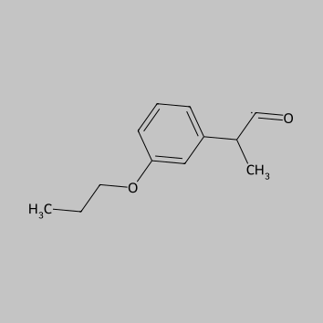 CCCOc1cccc(C(C)[C]=O)c1